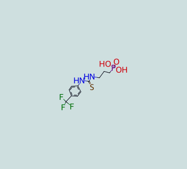 O=P(O)(O)CCCNC(=S)Nc1ccc(C(F)(F)F)cc1